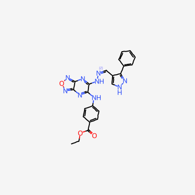 CCOC(=O)c1ccc(Nc2nc3nonc3nc2N/N=C\c2c[nH]nc2-c2ccccc2)cc1